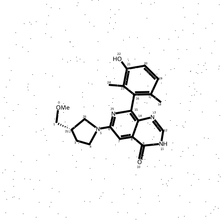 COC[C@H]1CCN(c2cc3c(=O)[nH]cnc3c(-c3c(C)ccc(O)c3C)n2)C1